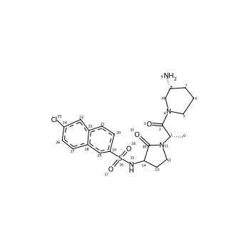 C[C@@H](C(=O)N1CCC[C@@H](N)C1)N1CCC(NS(=O)(=O)c2ccc3cc(Cl)ccc3c2)C1=O